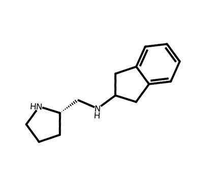 c1ccc2c(c1)CC(NC[C@@H]1CCCN1)C2